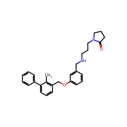 Cc1c(COc2cccc(CNCCCN3CCCC3=O)c2)cccc1-c1ccccc1